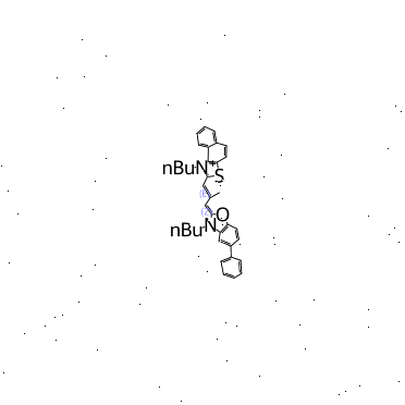 CCCCN1/C(=C/C(C)=C/c2sc3ccc4ccccc4c3[n+]2CCCC)Oc2ccc(-c3ccccc3)cc21